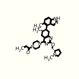 C=CC(=O)N1CCN(c2nc(OC[C@@H]3CCCN3C)nc3c2C[C@@H](C)C(c2c(C)ccc4[nH]ncc24)C3)CC1